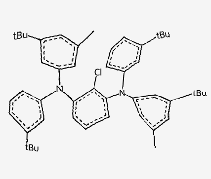 Cc1cc(N(c2cccc(C(C)(C)C)c2)c2cccc(N(c3cccc(C(C)(C)C)c3)c3cc(C)cc(C(C)(C)C)c3)c2Cl)cc(C(C)(C)C)c1